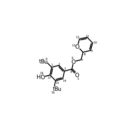 CC(C)(C)c1cc(C(=O)OCC2C=CC=CO2)cc(C(C)(C)C)c1O